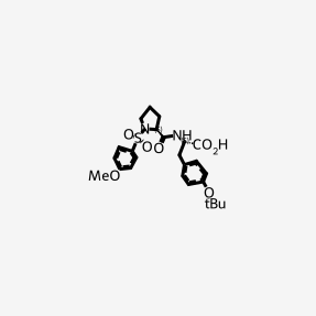 COc1ccc(S(=O)(=O)N2CCC[C@H]2C(=O)N[C@@H](Cc2ccc(OC(C)(C)C)cc2)C(=O)O)cc1